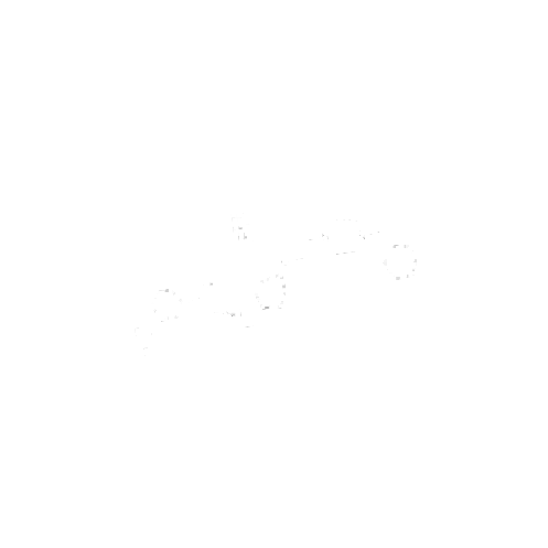 CC(Cc1ccc(OCCN2CCN(Cc3ccccc3)CC2)cc1)NCC(O)c1cccc(C(F)(F)F)c1.Cl.Cl.Cl